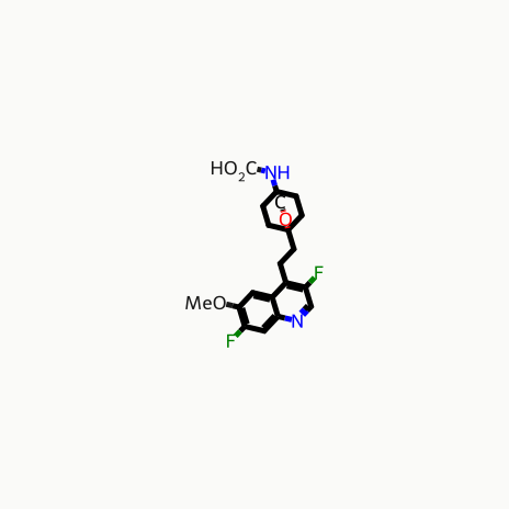 COc1cc2c(CCC34CCC(NC(=O)O)(CC3)CO4)c(F)cnc2cc1F